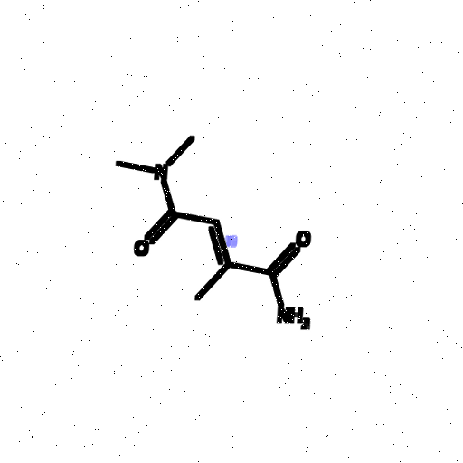 C/C(=C\C(=O)N(C)C)C(N)=O